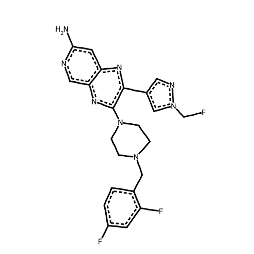 Nc1cc2nc(-c3cnn(CF)c3)c(N3CCN(Cc4ccc(F)cc4F)CC3)nc2cn1